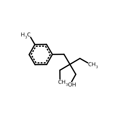 CCC(CC)(CO)Cc1cccc(C)c1